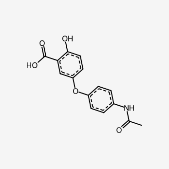 CC(=O)Nc1ccc(Oc2ccc(O)c(C(=O)O)c2)cc1